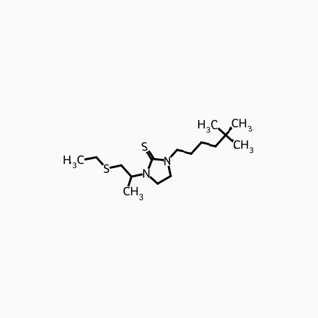 CCSCC(C)N1CCN(CCCCC(C)(C)C)C1=S